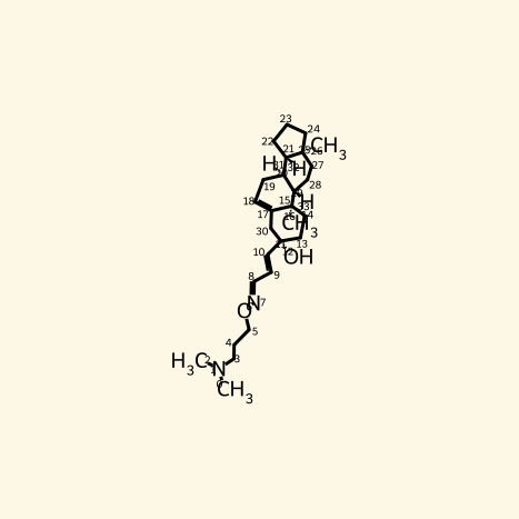 CN(C)CCCO/N=C/C=C/[C@]1(O)CC[C@@]2(C)C(=CC[C@H]3[C@@H]4CCC[C@@]4(C)CC[C@@H]32)C1